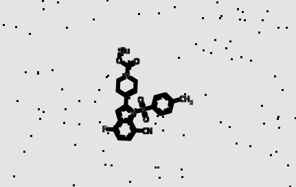 Cc1ccc(S(=O)(=O)n2c(C3=CCN(C(=O)OC(C)(C)C)CC3)cc3c(F)ccc(C#N)c32)cc1